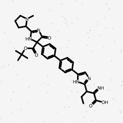 CCC(C(=N)C(=O)O)c1ncc(-c2ccc(-c3ccc(C4(C(=O)OC(C)(C)C)NC(C5CCCN5C)=NC4=O)cc3)cc2)[nH]1